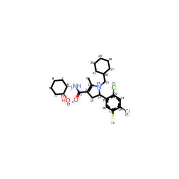 CC1=C(C(=O)N[C@H]2CCCC[C@@H]2O)CC(c2cc(F)c(Cl)cc2Cl)N1CC1CCCCC1